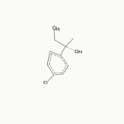 CC(O)(CO)c1ccc(Cl)cc1